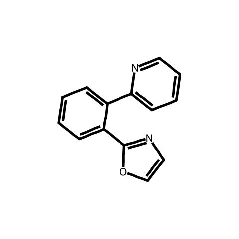 c1ccc(-c2ccccc2-c2ncco2)nc1